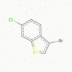 Clc1ccc2c(Br)csc2c1